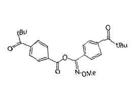 CON=C(OC(=O)c1ccc(C(=O)C(C)(C)C)cc1)c1ccc(C(=O)C(C)(C)C)cc1